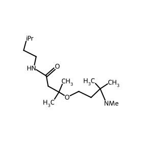 CNC(C)(C)CCOC(C)(C)CC(=O)NCCC(C)C